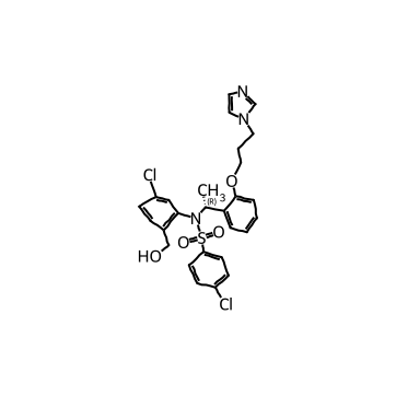 C[C@H](c1ccccc1OCCCn1ccnc1)N(c1cc(Cl)ccc1CO)S(=O)(=O)c1ccc(Cl)cc1